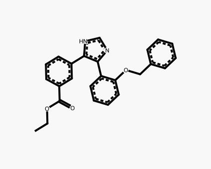 CCOC(=O)c1cccc(-c2[nH]cnc2-c2ccccc2OCc2ccccc2)c1